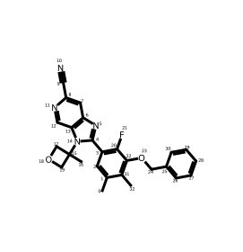 Cc1cc(-c2nc3cc(C#N)ncc3n2C2(C)COC2)c(F)c(OCc2ccccc2)c1C